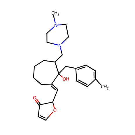 Cc1ccc(CC2(O)C(=CC3OC=CC3=O)CCCCC2CN2CCN(C)CC2)cc1